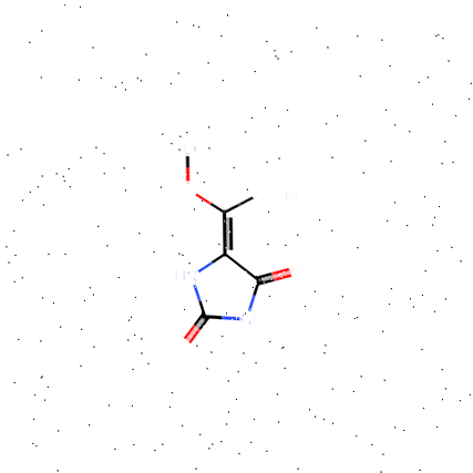 CCOC(=O)/C(OCC)=C1/NC(=O)NC1=O